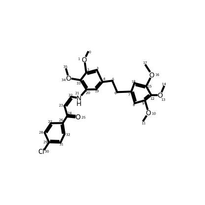 COc1cc(CCc2cc(OC)c(OC)c(OC)c2)cc(N/C=C\C(=O)c2ccc(Cl)cc2)c1OC